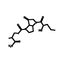 CCCC(O)C(=O)N1CC(=O)C2C1CCN2C(=O)[CH]CC(C)C(N)=O